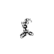 COC(=O)Nc1ccc(-c2nc(N3CCOCC3)c3c(n2)N2CCOCC2C3)cn1